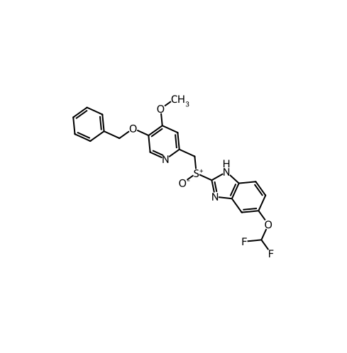 COc1cc(C[S+]([O-])c2nc3cc(OC(F)F)ccc3[nH]2)ncc1OCc1ccccc1